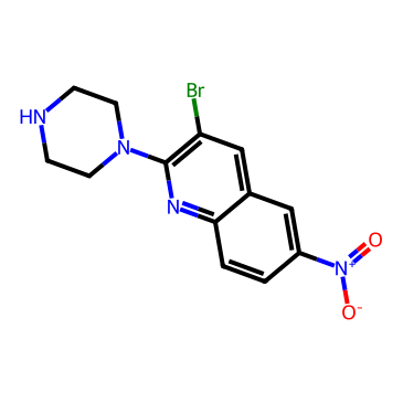 O=[N+]([O-])c1ccc2nc(N3CCNCC3)c(Br)cc2c1